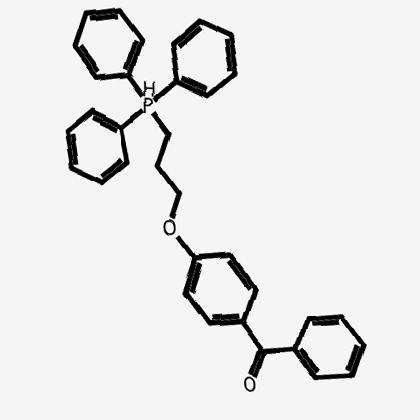 O=C(c1ccccc1)c1ccc(OCCC[PH](c2ccccc2)(c2ccccc2)c2ccccc2)cc1